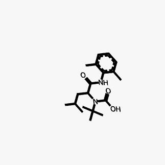 Cc1cccc(C)c1NC(=O)C(CC(C)C)N(C(=O)O)C(C)(C)C